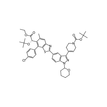 CCOC(=O)[C@@H](OC(C)(C)C)c1c(C)cc2nc(-c3ccc4c(c3)c(C3=CCN(C(=O)OC(C)(C)C)CC3)nn4C3CCCCO3)sc2c1-c1ccc(Cl)cc1